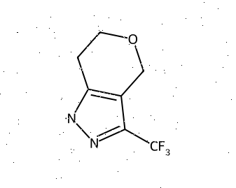 FC(F)(F)C1=N[N]C2=C1COCC2